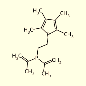 C=C(C)P(CCp1c(C)c(C)c(C)c1C)C(=C)C